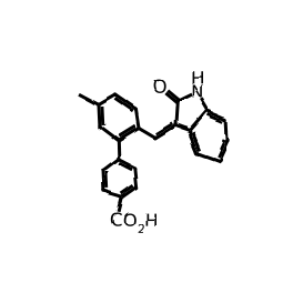 Cc1ccc(C=C2C(=O)Nc3ccccc32)c(-c2ccc(C(=O)O)cc2)c1